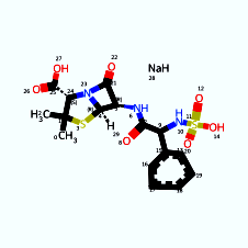 CC1(C)S[C@@H]2[C@H](NC(=O)C(NS(=O)(=O)O)c3ccccc3)C(=O)N2[C@H]1C(=O)O.[NaH]